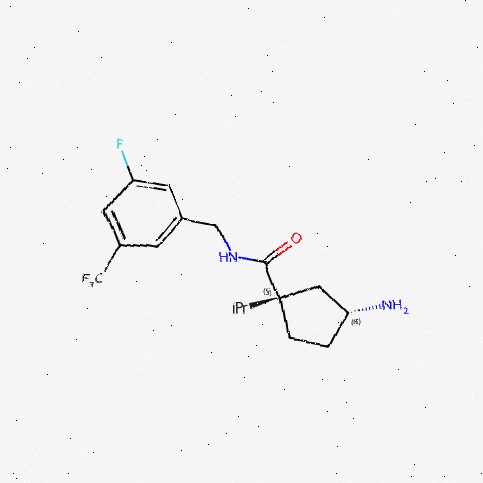 CC(C)[C@]1(C(=O)NCc2cc(F)cc(C(F)(F)F)c2)CC[C@@H](N)C1